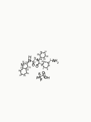 NCc1cccc(C(=O)N(CC(=O)Nc2cnc3ccccc3c2)c2ccccc2)c1.O=C(O)C(F)(F)F